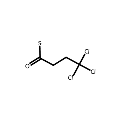 O=C([S])CCC(Cl)(Cl)Cl